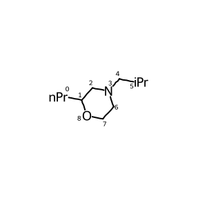 CCCC1CN(CC(C)C)CCO1